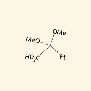 CCC(OC)(OC)C(=O)O